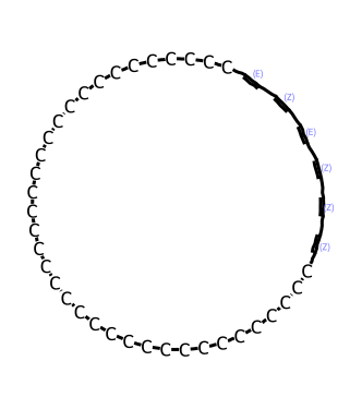 C1=C\C=C/CCCCCCCCCCCCCCCCCCCCCCCCCCCCCCCCCCCC/C=C/C=C\C=C\C=C/1